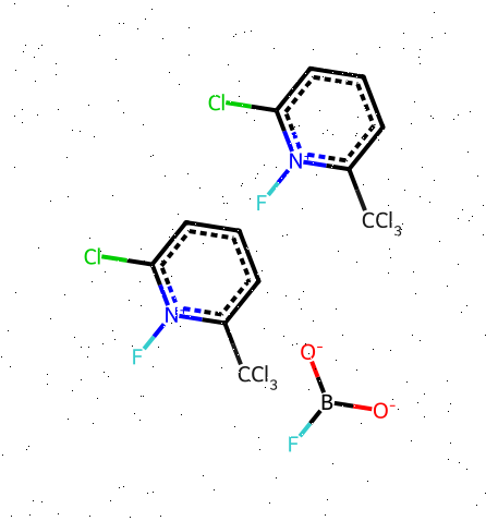 F[n+]1c(Cl)cccc1C(Cl)(Cl)Cl.F[n+]1c(Cl)cccc1C(Cl)(Cl)Cl.[O-]B([O-])F